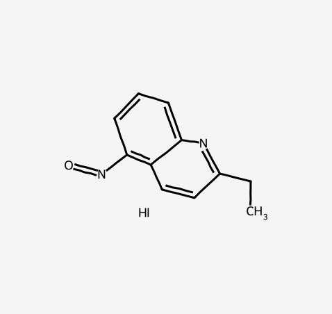 CCc1ccc2c(N=O)cccc2n1.I